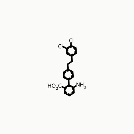 Nc1cccc(C(=O)O)c1-c1ccc(CCc2ccc(Cl)c(Cl)c2)cc1